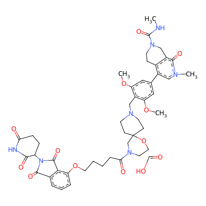 CNC(=O)N1CCc2c(-c3cc(OC)c(CN4CCC5(CC4)CN(C(=O)CCCCOc4cccc6c4C(=O)N(C4CCC(=O)NC4=O)C6=O)CCO5)c(OC)c3)cn(C)c(=O)c2C1.O=CO